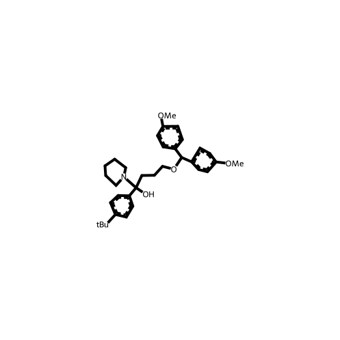 COc1ccc(C(OCCCC(O)(c2ccc(C(C)(C)C)cc2)N2CCCCC2)c2ccc(OC)cc2)cc1